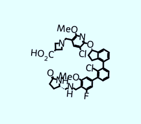 COc1cc(-c2cccc(-c3cccc4c3CC[C@@H]4Oc3nc(OC)c(CN4CC(C(=O)O)C4)cc3Cl)c2Cl)cc(F)c1CNC[C@@H]1CCC(=O)N1